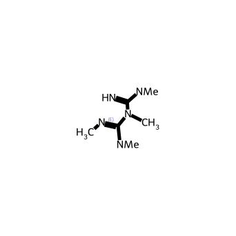 C/N=C(\NC)N(C)C(=N)NC